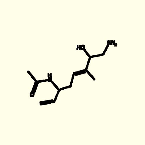 C=CC(C/C=C(\C)C(O)CN)NC(C)=O